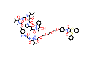 CCC(C)C(C(CC(=O)N1CCCC1C(OC)C(C)C(=O)NC(C)C(O)c1ccccc1)OC)N(C)C(=O)CNC(=O)C(C(C)C)N(C)C(=O)OCc1ccc(NC(=O)CNC(=O)C(NC(=O)COCCOCCOCCOc2ccc(N3C(=O)C(Sc4ccccc4)=C(Sc4ccccc4)C3=O)cc2)C(C)C)cc1